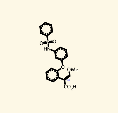 CO/C=C(/C(=O)O)c1ccccc1Oc1cccc(NS(=O)(=O)c2ccccc2)c1